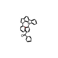 O=C(c1ccccc1)c1ccc(-n2c3ccccc3c3ccc4c(c32)C(c2ccccc2)C=C4)cc1